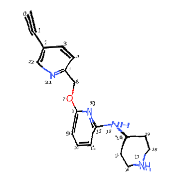 C#Cc1ccc(COc2cccc(NC3CCNCC3)n2)nc1